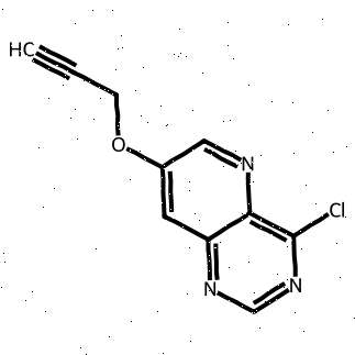 C#CCOc1cnc2c(Cl)ncnc2c1